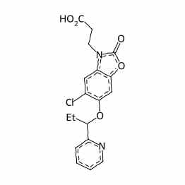 CCC(Oc1cc2oc(=O)n(CCC(=O)O)c2cc1Cl)c1ccccn1